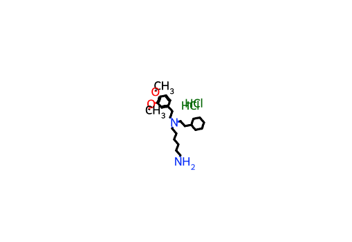 COc1ccc(CCN(CCCCCCN)CCC2CCCCC2)cc1OC.Cl.Cl